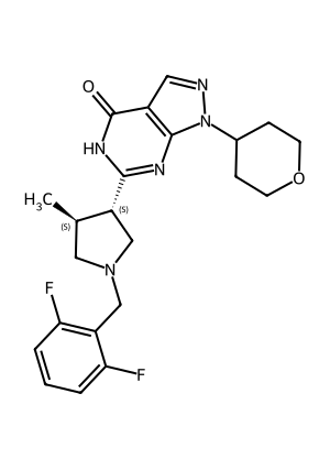 C[C@@H]1CN(Cc2c(F)cccc2F)C[C@H]1c1nc2c(cnn2C2CCOCC2)c(=O)[nH]1